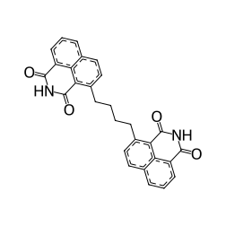 O=C1NC(=O)c2c(CCCCc3ccc4cccc5c4c3C(=O)NC5=O)ccc3cccc1c23